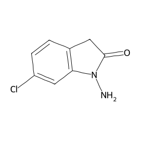 NN1C(=O)Cc2ccc(Cl)cc21